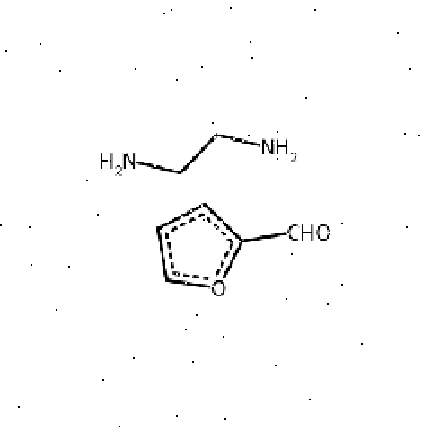 NCCN.O=Cc1ccco1